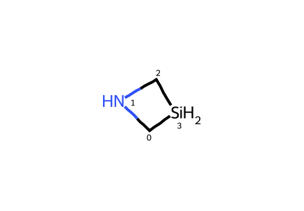 C1NC[SiH2]1